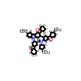 CC(C)(C)c1ccc(N2B3c4cc5c(cc4-n4c6ccc(C(C)(C)C)cc6c6c7oc8ccccc8c7c(c3c64)-c3cc4c(cc32)oc2ccc(C(C)(C)C)cc24)oc2ccccc25)cc1